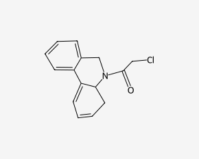 O=C(CCl)N1Cc2ccccc2C2=CC=CCC21